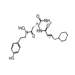 NC(=O)[C@@H](CC(=O)N(O)CCc1ccc(O)cc1)NC(=O)/C=C/CC1CCCCC1